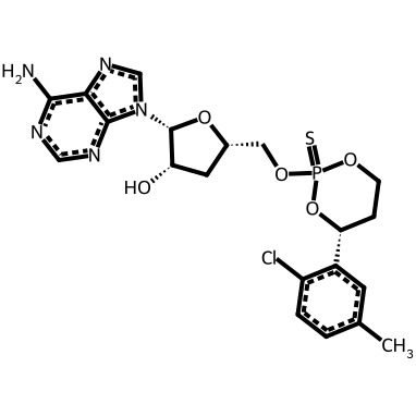 Cc1ccc(Cl)c([C@H]2CCOP(=S)(OC[C@@H]3C[C@H](O)[C@H](n4cnc5c(N)ncnc54)O3)O2)c1